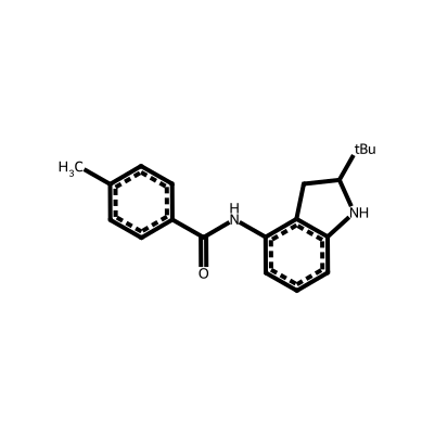 Cc1ccc(C(=O)Nc2cccc3c2CC(C(C)(C)C)N3)cc1